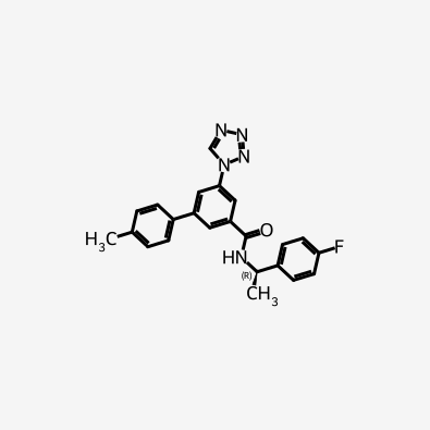 Cc1ccc(-c2cc(C(=O)N[C@H](C)c3ccc(F)cc3)cc(-n3cnnn3)c2)cc1